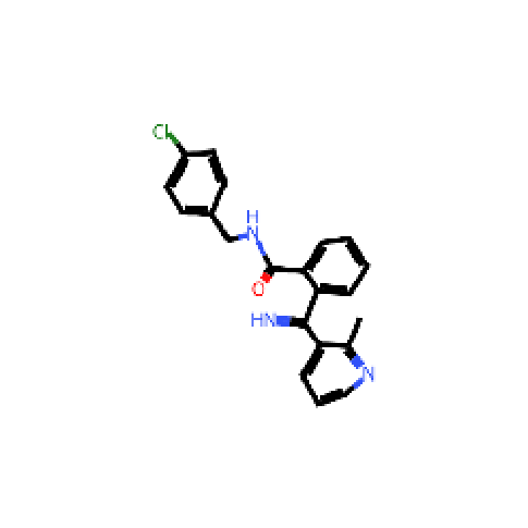 Cc1ncccc1C(=N)c1ccccc1C(=O)NCc1ccc(Cl)cc1